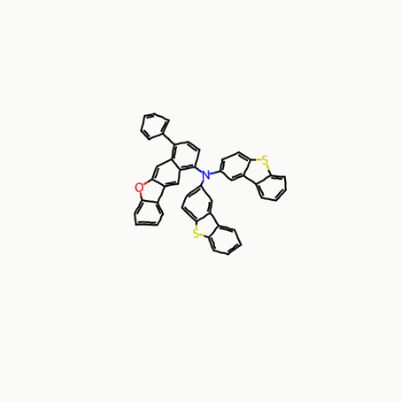 c1ccc(-c2ccc(N(c3ccc4sc5ccccc5c4c3)c3ccc4sc5ccccc5c4c3)c3cc4c(cc23)oc2ccccc24)cc1